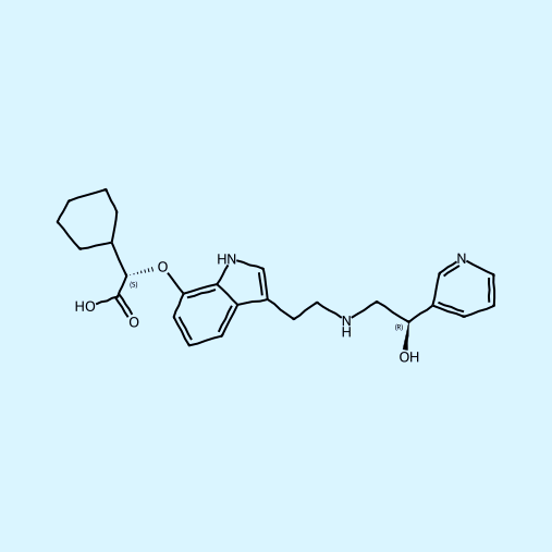 O=C(O)[C@@H](Oc1cccc2c(CCNC[C@H](O)c3cccnc3)c[nH]c12)C1CCCCC1